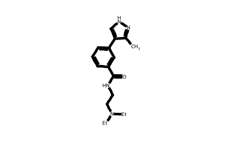 CCN(CC)CCNC(=O)c1c[c]cc(-c2c[nH]nc2C)c1